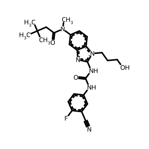 CN(C(=O)CC(C)(C)C)c1ccc2c(c1)nc(NC(=O)Nc1ccc(F)c(C#N)c1)n2CCCO